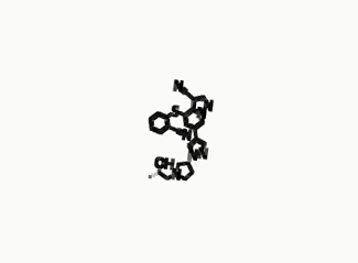 C[C@H](O)CN1CC[C@@H](n2cc(-c3cc(Sc4ccccc4C#N)c4c(C#N)cnn4c3)cn2)C1